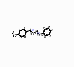 COc1ccc(/C=N/N=N/c2ccccc2)cc1